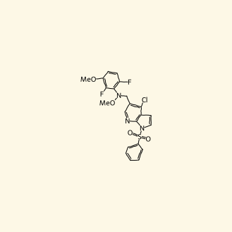 COc1ccc(F)c(N(Cc2cnc3c(ccn3S(=O)(=O)c3ccccc3)c2Cl)OC)c1F